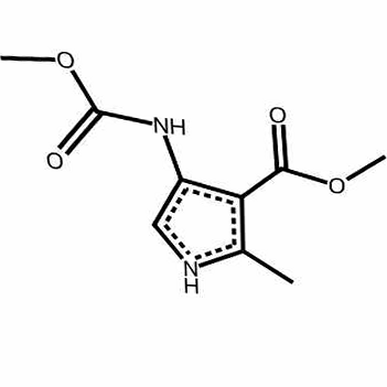 COC(=O)Nc1c[nH]c(C)c1C(=O)OC